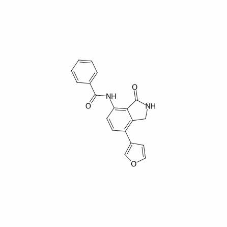 O=C(Nc1ccc(-c2ccoc2)c2c1C(=O)NC2)c1ccccc1